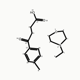 CCN1CCOCC1.Cc1ccc(C(=O)CCC(=O)O)cc1